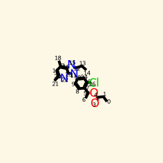 CCC(=O)OC(C)c1ccc(-n2c(CC)nc3c(C)cc(C)nc32)cc1Cl